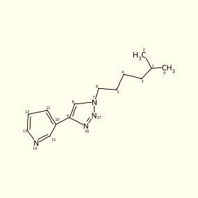 CC(C)CCCCn1cc(-c2cccnc2)nn1